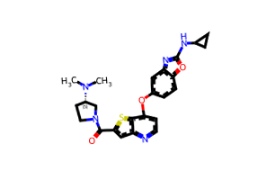 CN(C)[C@H]1CCN(C(=O)c2cc3nccc(Oc4ccc5oc(NC6CC6)nc5c4)c3s2)C1